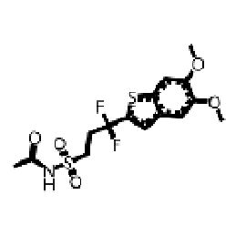 COc1cc2cc(C(F)(F)CCS(=O)(=O)NC(C)=O)sc2cc1OC